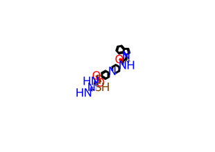 C[C@H](C(=O)NC1CCN(c2ccc(S(=O)(=O)N/C(S)=N/C=N)cc2)CC1)n1ccc2ccccc21